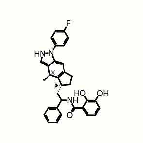 C[C@H]1C2=CNN(c3ccc(F)cc3)C2=CC2=C1[C@@H](CC(NC(=O)c1cccc(O)c1O)c1ccccc1)CC2